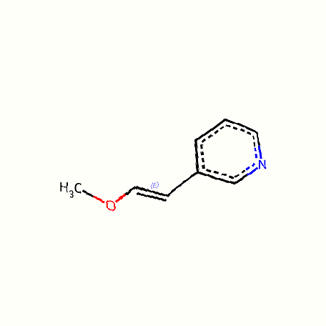 CO/C=C/c1cccnc1